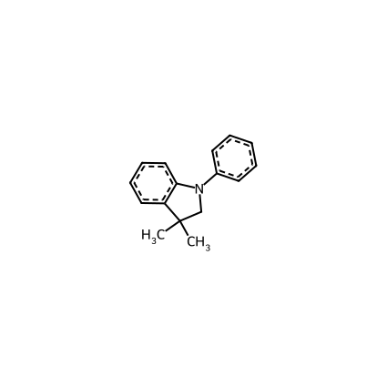 CC1(C)CN(c2ccccc2)c2ccccc21